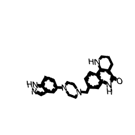 O=c1[nH]c2cc(CN3CCN(c4ccc5[nH]ncc5c4)CC3)ccc2c2c1CCCN2